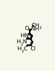 C=C/C(Cl)=C\c1cc(C(=O)NC)[nH]c1N